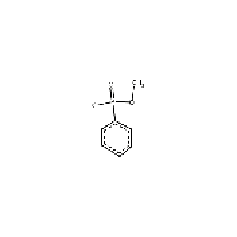 COP(=O)(Cl)c1ccccc1